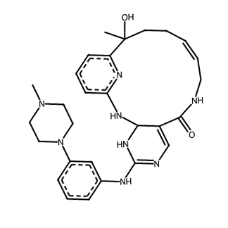 CN1CCN(c2cccc(NC3=NC=C4C(=O)NC/C=C\CCC(C)(O)c5cccc(n5)NC4N3)c2)CC1